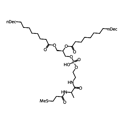 CCCCCCCCCCCCCCCCCC(=O)OC[C@H](COP(=O)(O)OCCNC(=O)C(C)NC(=O)CCSC)OC(=O)CCCCCCCCCCCCCCCCC